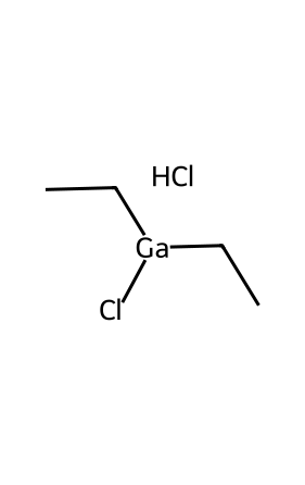 C[CH2][Ga]([Cl])[CH2]C.Cl